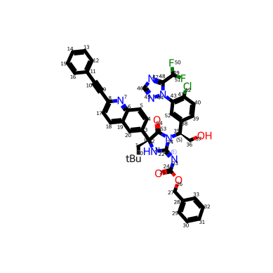 CC(C)(C)C[C@]1(c2ccc3nc(C#Cc4ccccc4)ccc3c2)N/C(=N\C(=O)OCc2ccccc2)N([C@H](CO)c2ccc(Cl)c(-n3ncnc3C(F)F)c2)C1=O